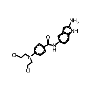 Nc1cc2cc(NC(=O)c3ccc(N(CCCl)CCCl)cc3)ccc2[nH]1